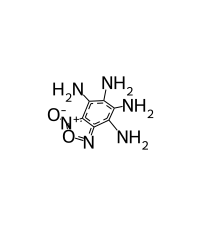 Nc1c(N)c(N)c2c(no[n+]2[O-])c1N